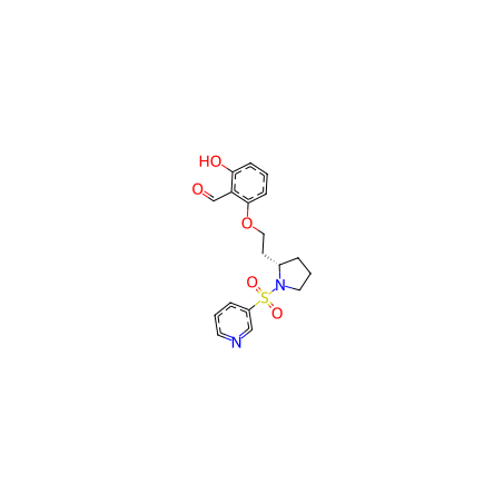 O=Cc1c(O)cccc1OCC[C@@H]1CCCN1S(=O)(=O)c1cccnc1